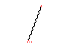 O=CCCCCCCCCCCCCCCCCO